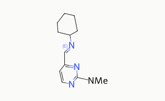 CNc1nccc(/C=N/C2CCCCC2)n1